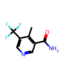 Cc1c(C(N)=O)cncc1C(F)(F)F